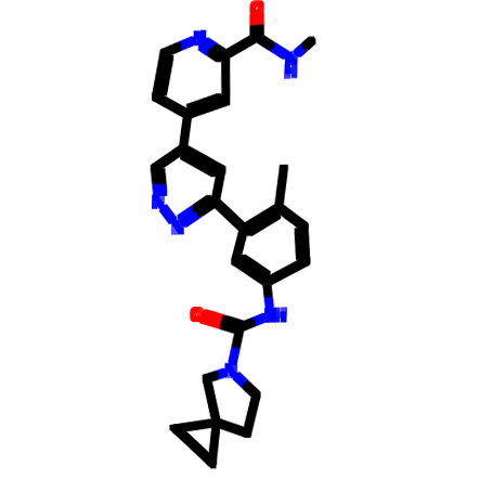 CNC(=O)c1cc(-c2cnnc(-c3cc(NC(=O)N4CCC5(CC5)C4)ccc3C)c2)ccn1